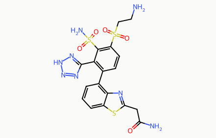 NCCS(=O)(=O)c1ccc(-c2cccc3sc(CC(N)=O)nc23)c(-c2nn[nH]n2)c1S(N)(=O)=O